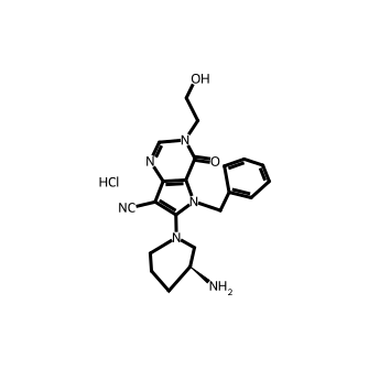 Cl.N#Cc1c(N2CCC[C@H](N)C2)n(Cc2ccccc2)c2c(=O)n(CCO)cnc12